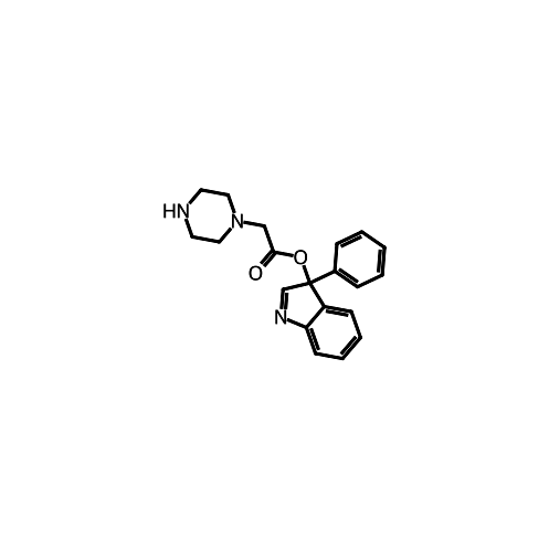 O=C(CN1CCNCC1)OC1(c2ccccc2)C=Nc2ccccc21